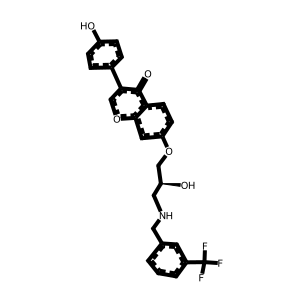 O=c1c(-c2ccc(O)cc2)coc2cc(OC[C@@H](O)CNCc3cccc(C(F)(F)F)c3)ccc12